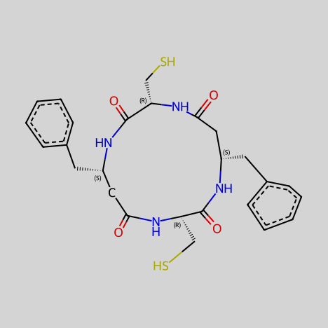 O=C1C[C@H](Cc2ccccc2)NC(=O)[C@H](CS)NC(=O)C[C@H](Cc2ccccc2)NC(=O)[C@H](CS)N1